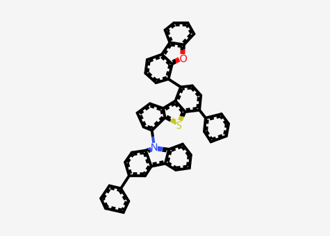 c1ccc(-c2ccc3c(c2)c2ccccc2n3-c2cccc3c2sc2c(-c4ccccc4)ccc(-c4cccc5c4oc4ccccc45)c23)cc1